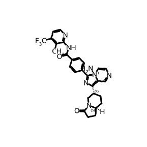 Cc1c(C(F)(F)F)ccnc1NC(=O)c1ccc(C2=NC([C@@H]3CC[C@H]4CCC(=O)N4C3)=C3C=NC=C[N+]23N)cc1